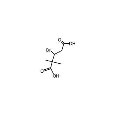 CC(C)(C(=O)O)C(Br)CC(=O)O